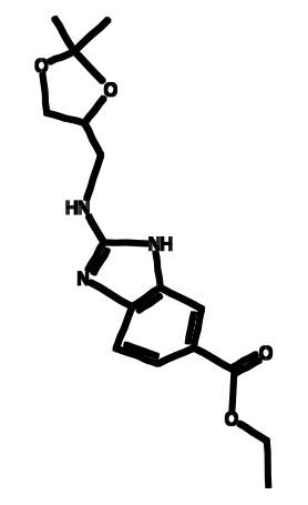 CCOC(=O)c1ccc2nc(NCC3COC(C)(C)O3)[nH]c2c1